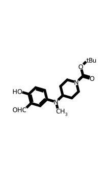 CN(c1ccc(O)c(C=O)c1)C1CCN(C(=O)OC(C)(C)C)CC1